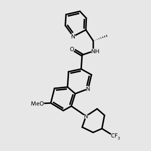 COc1cc(N2CCC(C(F)(F)F)CC2)c2ncc(C(=O)N[C@@H](C)c3ccccn3)cc2c1